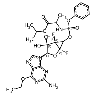 CCOc1nc(N)nc2c1ncn2[C@@H]1O[C@]2(F)C(OP(=O)(NC(C)C(=O)OC(C)C)Oc3ccccc3)[C@@]2(F)[C@@]1(C)O